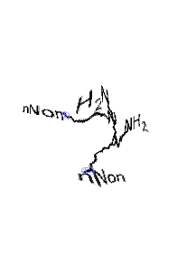 CCCCCCCCC/C=C/CCCCCCCCN(CCCN)CCCCN(CCCN)CCCCCCCC/C=C/CCCCCCCCC